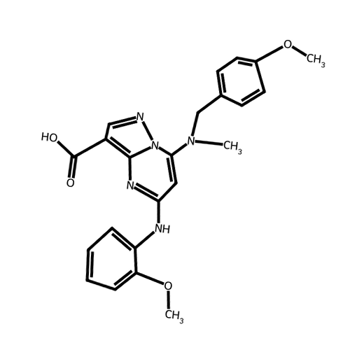 COc1ccc(CN(C)c2cc(Nc3ccccc3OC)nc3c(C(=O)O)cnn23)cc1